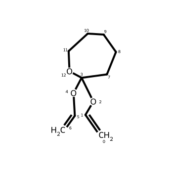 C=COC1(OC=C)CCCCCO1